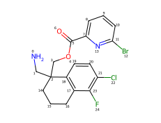 NCC1(COC(=O)c2cccc(Br)n2)CCCc2c1ccc(Cl)c2F